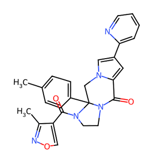 Cc1ccc(C23Cn4cc(-c5ccccn5)cc4C(=O)N2CCN3C(=O)c2conc2C)cc1